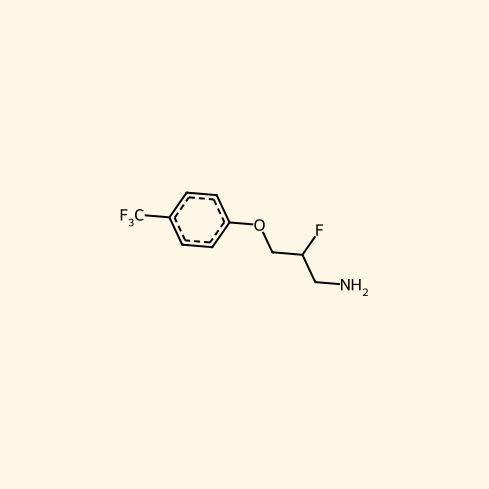 NCC(F)COc1ccc(C(F)(F)F)cc1